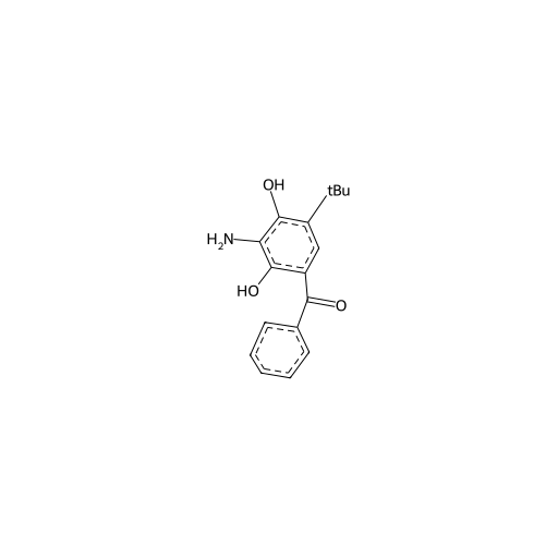 CC(C)(C)c1cc(C(=O)c2ccccc2)c(O)c(N)c1O